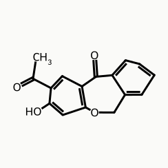 CC(=O)c1cc2c(cc1O)OCc1ccccc1C2=O